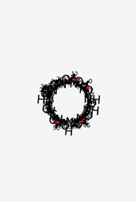 CC(C)C[C@@H]1C(=O)N(C)[C@H](CC(C)C)C(=O)N(C)[C@H](C(C)C)C(=O)N(C)[C@H]([C@@H]2OCC[C@H]2C)C(=O)N[C@H](C)C(=O)N(C)CC(=O)N(C)[C@@H](CC(C)C)C(=O)N[C@H](C(C)C)C(=O)N(C)[C@H](CC(C)C)C(=O)N[C@H](C)C(=O)N[C@@H](C)C(=O)N1C